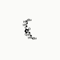 CC(C)(C)NCNCSC1CC(=O)N(CNCNC(C)(C)C)C1=O